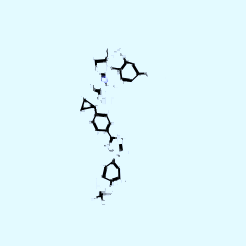 Cc1cc(C)c(-n2c(C)cs/c2=N\C(=O)NC2(c3ccc(-c4ncn(-c5ccc(OC(F)(F)F)cc5)n4)cc3)CC2)c(C)c1